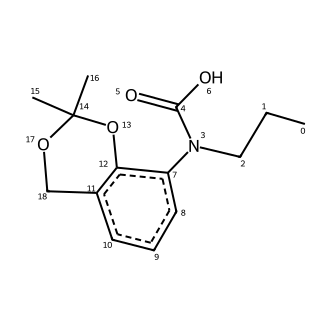 CCCN(C(=O)O)c1cccc2c1OC(C)(C)OC2